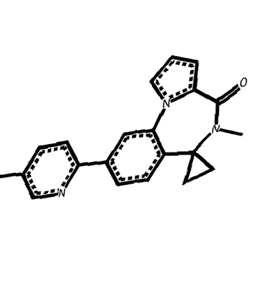 CN1C(=O)c2cccn2-c2cc(-c3ccc(F)cn3)ccc2C12CC2